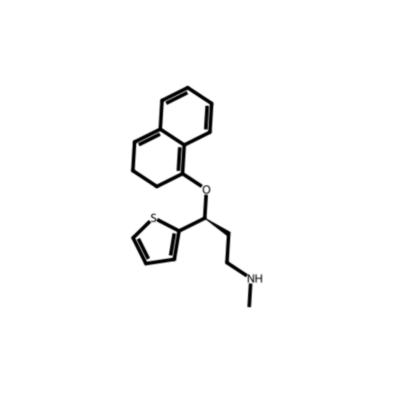 CNCC[C@H](OC1=c2ccccc2=CCC1)c1cccs1